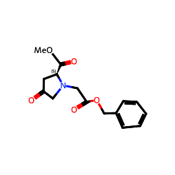 COC(=O)[C@@H]1CC(=O)CN1CC(=O)OCc1ccccc1